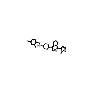 Cc1cc(F)ccc1CNC1CCN(c2nnc(-c3ccnn3C)c3c2CCC3)CC1